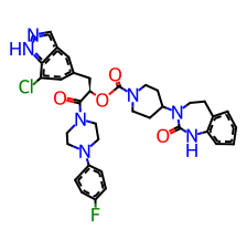 O=C(O[C@H](Cc1cc(Cl)c2[nH]ncc2c1)C(=O)N1CCN(c2ccc(F)cc2)CC1)N1CCC(N2CCc3ccccc3NC2=O)CC1